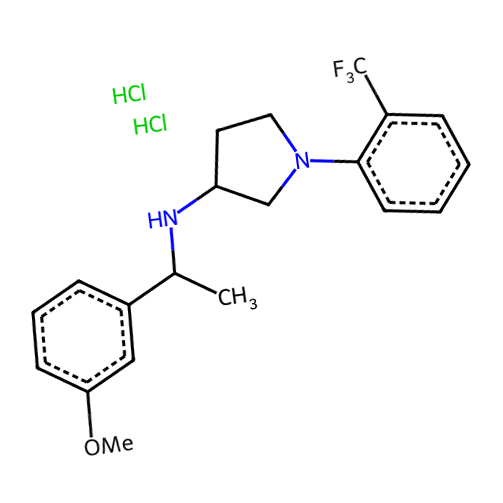 COc1cccc(C(C)NC2CCN(c3ccccc3C(F)(F)F)C2)c1.Cl.Cl